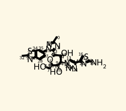 Cc1nc([C@@H]2O[C@H](CO)[C@H](O)[C@H](n3cc(-c4csc(N)n4)nn3)[C@H]2O)n(-c2ccc3nc(C)sc3c2)n1